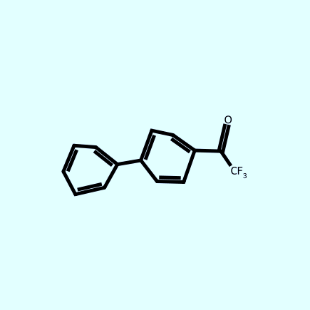 O=C(c1ccc(-c2ccccc2)cc1)C(F)(F)F